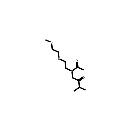 COCCOCCN(CC(=O)C(C)C)C(C)=O